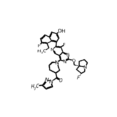 CCc1c(F)ccc2cc(O)cc(-c3ncc4c(N5CCCC(C(=O)n6ccc(C)n6)C5)nc(OC[C@@]56CCCN5C[C@H](F)C6)nc4c3F)c12